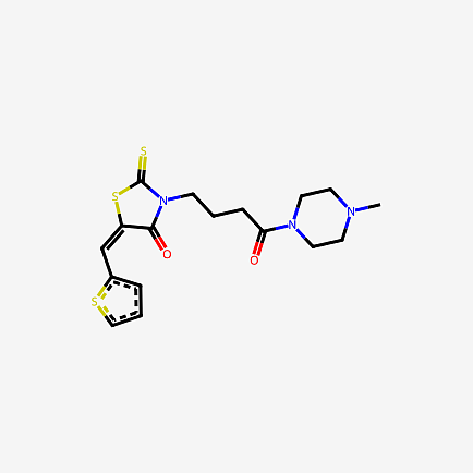 CN1CCN(C(=O)CCCN2C(=O)/C(=C\c3cccs3)SC2=S)CC1